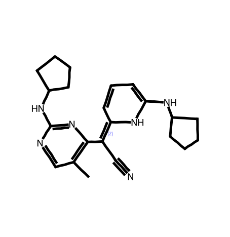 Cc1cnc(NC2CCCC2)nc1/C(C#N)=C1\C=CC=C(NC2CCCC2)N1